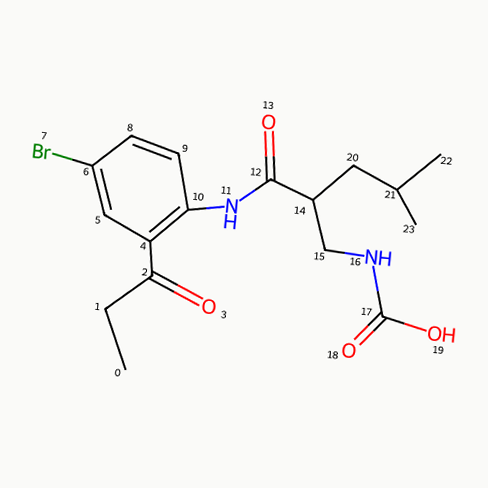 CCC(=O)c1cc(Br)ccc1NC(=O)C(CNC(=O)O)CC(C)C